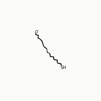 SCCCCCCCCCCCCCCCl